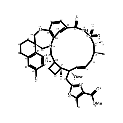 COC(=O)c1nc(C[C@]2(OC)/C=C/C[C@H](C)[C@@H](C)S(=O)(=O)NC(=O)c3ccc4c(c3)N(C[C@@H]3CC[C@H]32)C[C@@]2(CCCc3cc(Cl)ccc32)CO4)oc1C